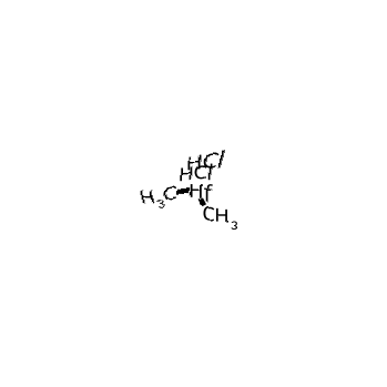 Cl.Cl.[CH3][Hf][CH3]